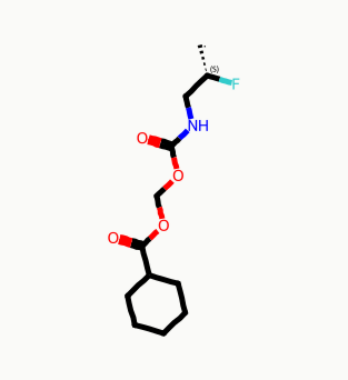 [CH2][C@H](F)CNC(=O)OCOC(=O)C1CCCCC1